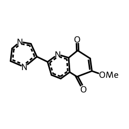 COC1=CC(=O)c2nc(-c3cnccn3)ccc2C1=O